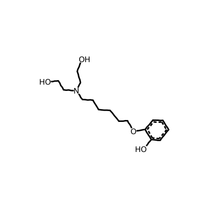 OCCN(CCO)CCCCCCOc1ccccc1O